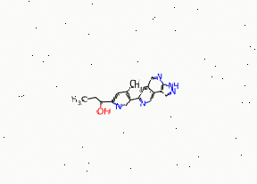 CCC(O)c1cc(C)c(-c2cc3cnc4[nH]ncc4c3cn2)cn1